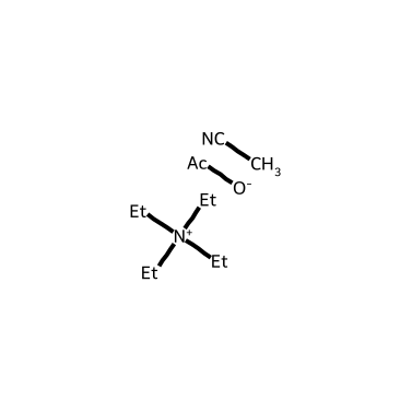 CC#N.CC(=O)[O-].CC[N+](CC)(CC)CC